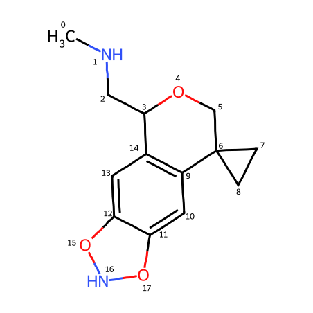 CNCC1OCC2(CC2)c2cc3c(cc21)ONO3